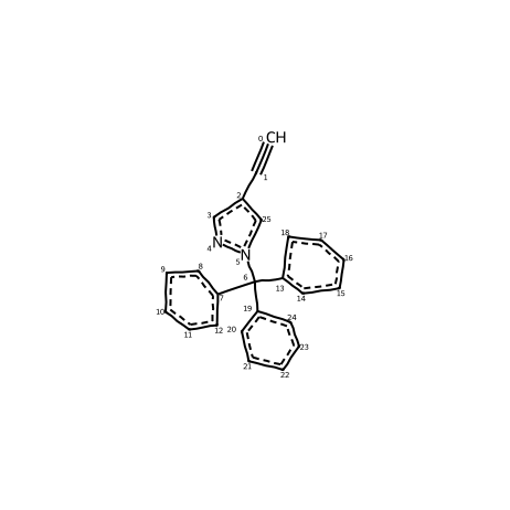 C#Cc1cnn(C(c2ccccc2)(c2ccccc2)c2ccccc2)c1